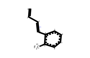 [CH]=C/C=C/c1ccccc1C(F)(F)F